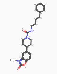 Cn1c(=O)oc2ccc(C3CCN(C(=O)NCCCCc4ccccc4)CC3)cc21